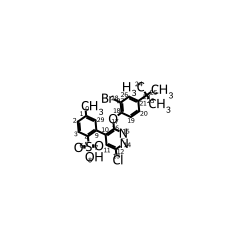 Cc1ccc(S(=O)(=O)O)c(-c2cc(Cl)nnc2Oc2ccc(C(C)(C)C)cc2Br)c1